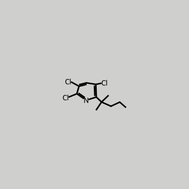 CCCC(C)(C)c1nc(Cl)c(Cl)cc1Cl